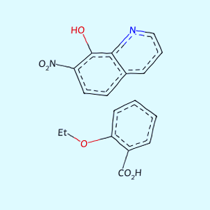 CCOc1ccccc1C(=O)O.O=[N+]([O-])c1ccc2cccnc2c1O